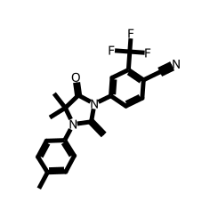 C=C1N(c2ccc(C#N)c(C(F)(F)F)c2)C(=O)C(C)(C)N1c1ccc(C)cc1